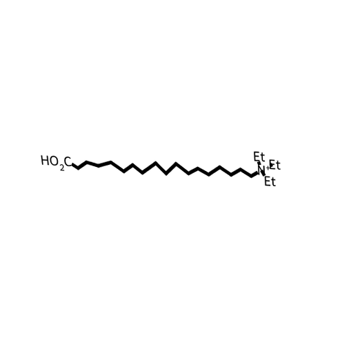 CC[N+](CC)(CC)CCCCCCCCCCCCCCCCCC(=O)O